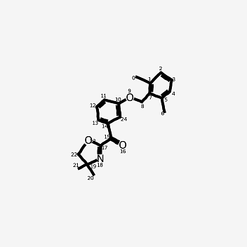 Cc1cccc(C)c1COc1cccc(C(=O)C2=NC(C)(C)CO2)c1